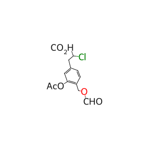 CC(=O)Oc1cc(CC(Cl)C(=O)O)ccc1COC=O